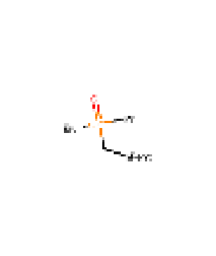 CCCCCCP(=O)(C(C)C)[C@@H](C)CC